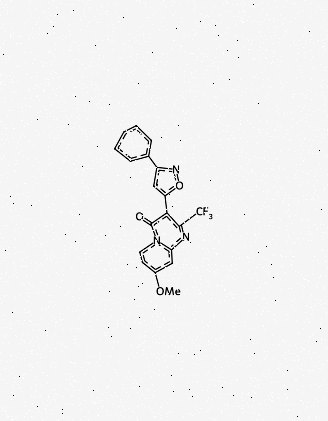 COc1ccn2c(=O)c(-c3cc(-c4ccccc4)no3)c(C(F)(F)F)nc2c1